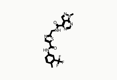 Cc1ccc(NC(=O)c2cnc(CNC(=O)c3ncnc4c3cnn4C)s2)cc1C(F)(F)F